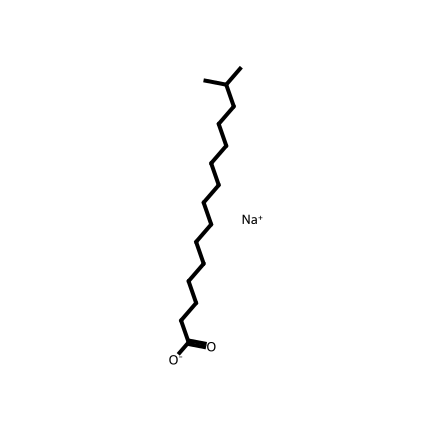 CC(C)CCCCCCCCCCCCC(=O)[O-].[Na+]